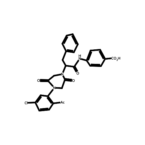 CC(=O)c1ccc(Cl)cc1N1CC(=O)N(C(Cc2ccccc2)C(=O)Nc2ccc(C(=O)O)cc2)CC1=O